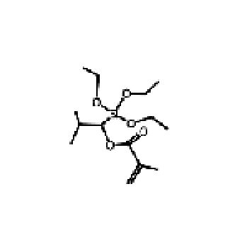 C=C(C)C(=O)OC(C(C)C)[Si](OCC)(OCC)OCC